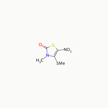 CSc1c([N+](=O)[O-])sc(=O)n1C